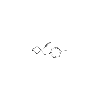 Cc1ccc(CC2(C#N)COC2)cc1